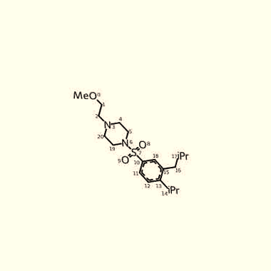 COCCN1CCN(S(=O)(=O)c2ccc(C(C)C)c(CC(C)C)c2)CC1